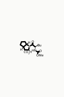 CC[C@H](C)[C@H](NC(=O)OC)C(=O)N1[C@H](C(=O)O)C[C@@H]2CCC[C@@H]21